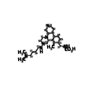 Cc1cc(-c2ccncc2N2CCN(NC/C=C/CN(C)C)CC2)ccc1CNC(=O)O